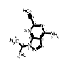 C#Cc1nc(N)c2cnn(C(C)C(C)(C)C)c2n1